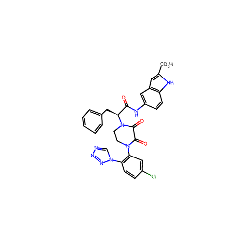 O=C(O)c1cc2cc(NC(=O)[C@H](Cc3ccccc3)N3CCN(c4cc(Cl)ccc4-n4cnnn4)C(=O)C3=O)ccc2[nH]1